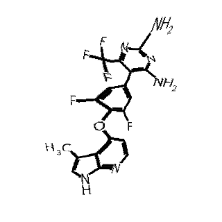 Cc1c[nH]c2nccc(Oc3c(F)cc(-c4c(N)nc(N)nc4C(F)(F)F)cc3F)c12